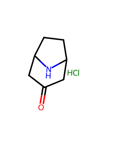 Cl.O=C1CC2CCC(C1)N2